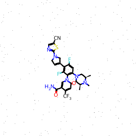 C[C@@H]1CN(c2cc(F)c(C3=CCN(c4ncc(C#N)s4)C3)c(F)c2-n2cc(C(N)=O)c(C(F)(F)F)cc2=O)C[C@H](C)N1C